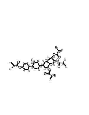 C=C(F)C(=O)Oc1ccc(-c2ccc(-c3cc(OC(=O)C(=C)F)c4cc(OC(=O)C(=C)F)c(OC(=O)C(=C)F)cc4c3)cc2F)cc1